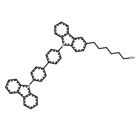 OCCCCCCc1ccc2c(c1)c1ccccc1n2-c1ccc(-c2ccc(-n3c4ccccc4c4ccccc43)cc2)cc1